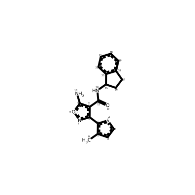 Cc1ccsc1-c1noc(N)c1C(=O)NC1CCc2ccccc21